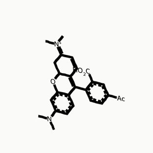 CC(=O)c1ccc(C2=C3C=CC(=[N+](C)C)CC3Oc3cc(N(C)C)ccc32)c(C(=O)O)c1